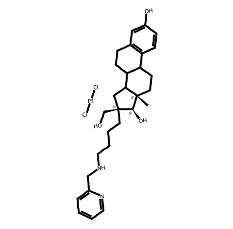 C[C@]12CCC3c4ccc(O)cc4CCC3C1C[C@@](CO)(CCCCNCc1ccccn1)[C@@H]2O.[Cl][Pt][Cl]